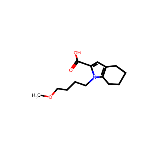 COCCCCn1c(C(=O)O)cc2c1CCCC2